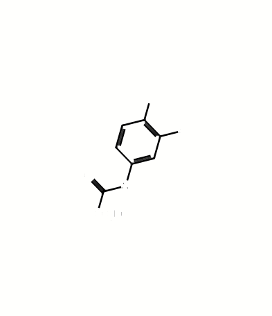 CCOC(=O)C(=O)Nc1ccc(F)c(Cl)c1